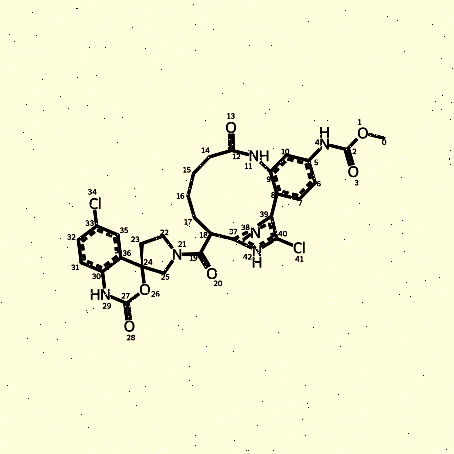 COC(=O)Nc1ccc2c(c1)NC(=O)CCCCC(C(=O)N1CC[C@@]3(C1)OC(=O)Nc1ccc(Cl)cc13)c1nc-2c(Cl)[nH]1